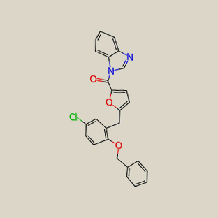 O=C(c1ccc(Cc2cc(Cl)ccc2OCc2ccccc2)o1)n1cnc2ccccc21